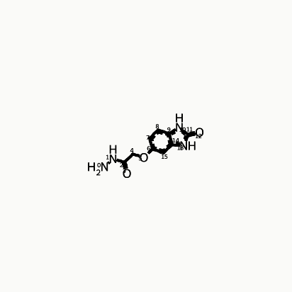 NNC(=O)COc1ccc2[nH]c(=O)[nH]c2c1